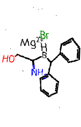 NC(BC(c1ccccc1)c1ccccc1)CO.[Mg+2][Br]